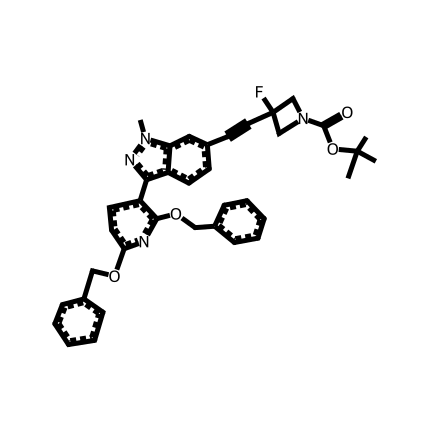 Cn1nc(-c2ccc(OCc3ccccc3)nc2OCc2ccccc2)c2ccc(C#CC3(F)CN(C(=O)OC(C)(C)C)C3)cc21